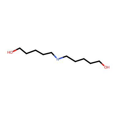 OCCCCC[N]CCCCCO